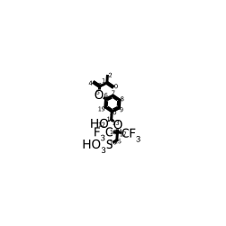 C=C(C)C(=C)Oc1cccc([C@@H](O)OC(CS(=O)(=O)O)(C(F)(F)F)C(F)(F)F)c1